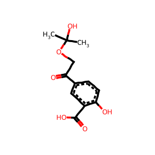 CC(C)(O)OCC(=O)c1ccc(O)c(C(=O)O)c1